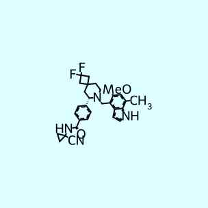 COc1cc(C)c2[nH]ccc2c1CN1CCC2(C[C@H]1c1ccc(C(=O)NC3(C#N)CC3)cc1)CC(F)(F)C2